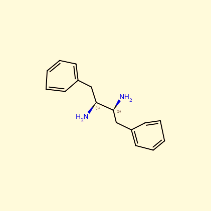 N[C@@H](Cc1ccccc1)[C@@H](N)Cc1ccccc1